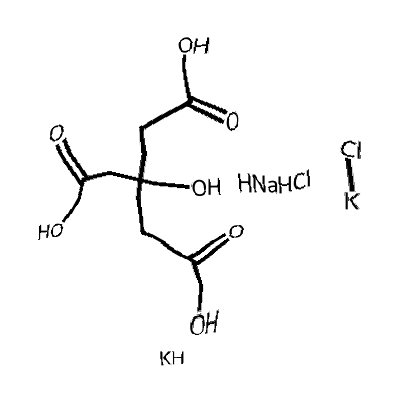 Cl.O=C(O)CC(O)(CC(=O)O)C(=O)O.[Cl][K].[KH].[NaH]